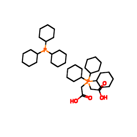 C1CCC(P(C2CCCCC2)C2CCCCC2)CC1.O=C(O)CP(CC(=O)O)(C1CCCCC1)(C1CCCCC1)C1CCCCC1